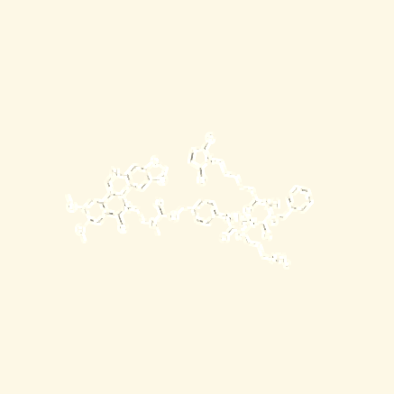 COc1cc2c(=O)n(CCN(C)C(=O)OCc3ccc(NC(=O)[C@H](CCCN)NC(=O)[C@H](Cc4ccccc4)NC(=O)CCCCCN4C(=O)C=CC4=O)cc3)c3c4cc5c(cc4ncc3c2cc1OC)OCO5